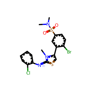 CN(C)S(=O)(=O)c1ccc(Br)c(-c2cs/c(=N/c3ccccc3Cl)n2C)c1